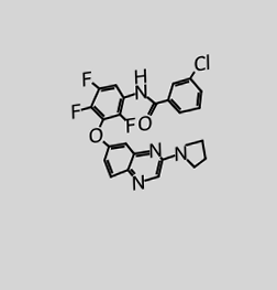 O=C(Nc1cc(F)c(F)c(Oc2ccc3ncc(N4CCCC4)nc3c2)c1F)c1cccc(Cl)c1